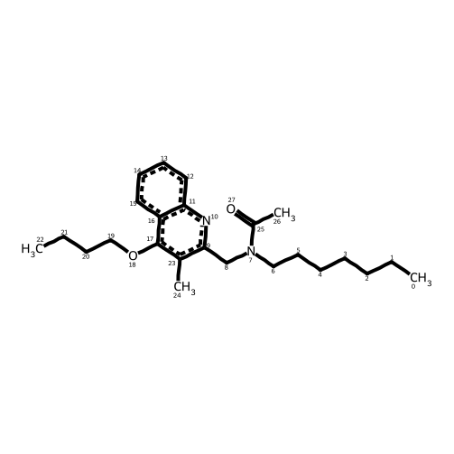 CCCCCCCN(Cc1nc2ccccc2c(OCCCC)c1C)C(C)=O